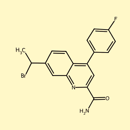 CC(Br)c1ccc2c(-c3ccc(F)cc3)cc(C(N)=O)nc2c1